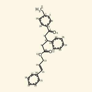 Cc1ccc(C(=O)CC(CC(=O)OC/C=C/c2ccccc2)c2ccccc2)cc1